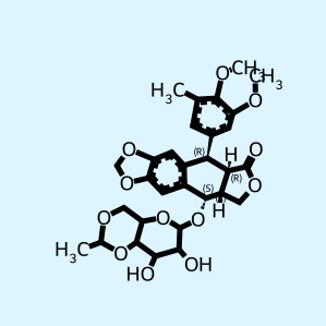 COc1cc([C@@H]2c3cc4c(cc3[C@@H](OC3OC5COC(C)OC5C(O)C3O)[C@H]3COC(=O)[C@H]23)OCO4)cc(C)c1OC